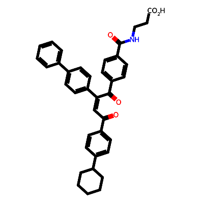 O=C(O)CCNC(=O)c1ccc(C(=O)/C(=C\C(=O)c2ccc(C3CCCCC3)cc2)c2ccc(-c3ccccc3)cc2)cc1